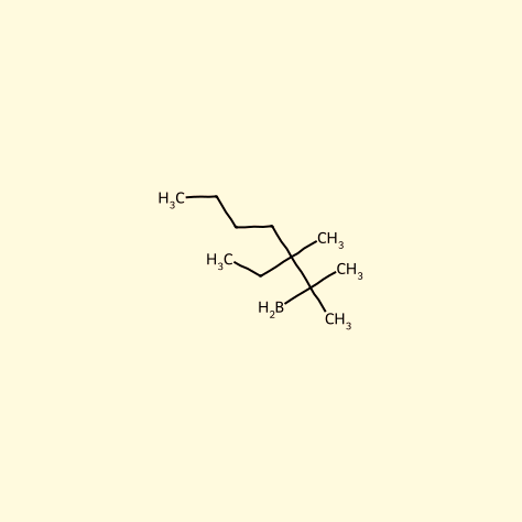 BC(C)(C)C(C)(CC)CCCC